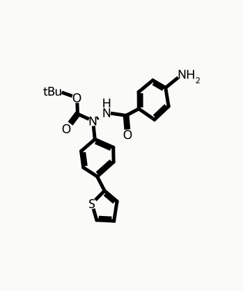 CC(C)(C)OC(=O)N(NC(=O)c1ccc(N)cc1)c1ccc(-c2cccs2)cc1